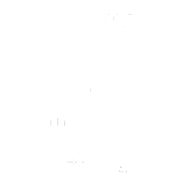 CCCc1c(OCCCC(=O)OCC)ccc(C(C)=O)c1O